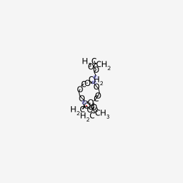 C=C(/C=C1/OCCOCCOC(=C)/C(=C\C=C\COC(=O)C(=C)C)OCCOCCOC1=C)COC(=O)C(=C)C